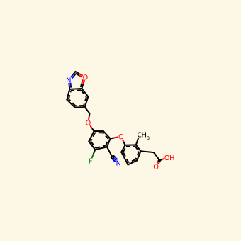 Cc1c(CC(=O)O)cccc1Oc1cc(OCc2ccc3ncoc3c2)cc(F)c1C#N